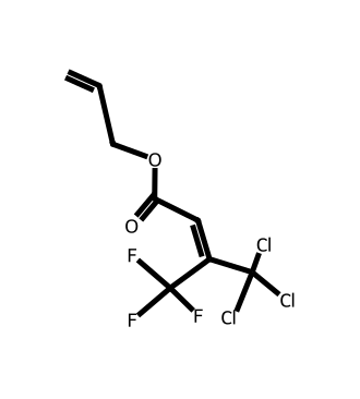 C=CCOC(=O)/C=C(\C(F)(F)F)C(Cl)(Cl)Cl